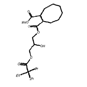 CCC(C(=O)OCC(O)COC(=O)C1CCCCCCC1C(=O)OC)(C(C)C)C(C)C